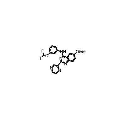 COc1ccc2nc(-c3cnccn3)nc(Nc3cccc(OC(F)F)c3)c2c1